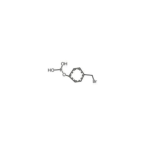 OB(O)Oc1ccc(CBr)cc1